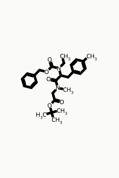 CCN(C(=O)OCc1ccccc1)C(Cc1ccc(C)cc1)C(=O)N(C)CC(=O)OC(C)(C)C